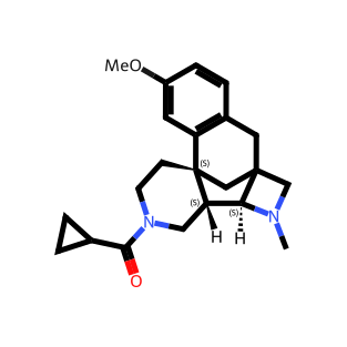 COc1ccc2c(c1)[C@@]13CCN(C(=O)C4CC4)C[C@H]1[C@@H]1N(C)CC1(C2)C3